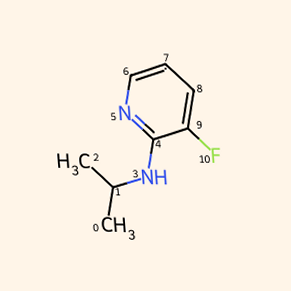 CC(C)Nc1nc[c]cc1F